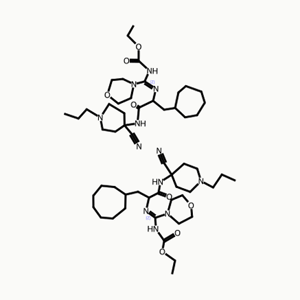 CCCN1CCC(C#N)(NC(=O)C(CC2CCCCCC2)/N=C(/NC(=O)OCC)N2CCOCC2)CC1.CCCN1CCC(C#N)(NC(=O)C(CC2CCCCCCC2)/N=C(/NC(=O)OCC)N2CCOCC2)CC1